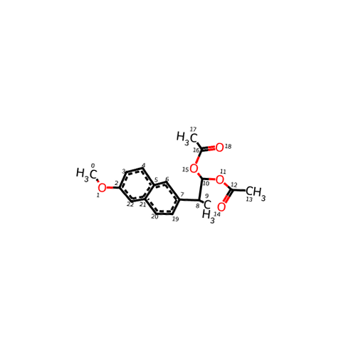 COc1ccc2cc(C(C)C(OC(C)=O)OC(C)=O)ccc2c1